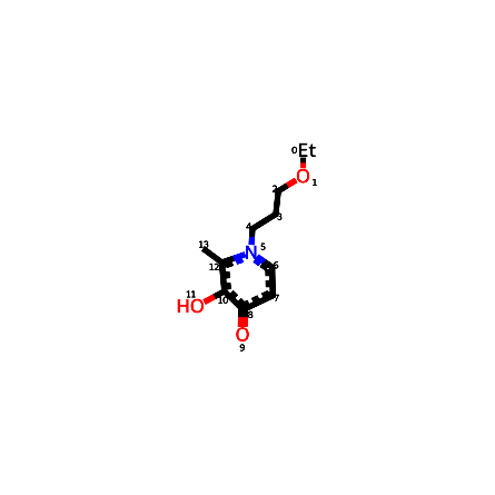 CCOCCCn1ccc(=O)c(O)c1C